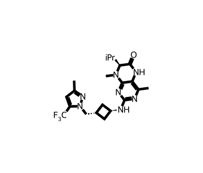 Cc1cc(C(F)(F)F)n(C[C@H]2C[C@@H](Nc3nc(C)c4c(n3)N(C)[C@@H](C(C)C)C(=O)N4)C2)n1